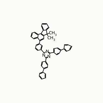 CC1(C)c2ccccc2-c2c1cc(-c1cccc(-c3nc(-c4ccc(-c5ccccc5)cc4)nc(-c4ccc(-c5ccccc5)cc4)n3)c1)c1ccccc21